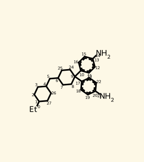 CCC1CCC(CC2CCC(c3ccc(N)cc3)(c3ccc(N)cc3)CC2)CC1